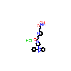 Cl.O=C(/C=C/c1cccc(/C=C/C(=O)N2CCC(n3c(-c4ccccc4)nc4ccccc43)CC2)n1)NO